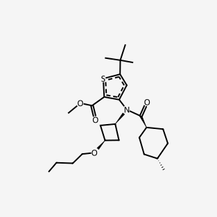 CCCCO[C@H]1C[C@@H](N(c2cc(C(C)(C)C)sc2C(=O)OC)C(=O)[C@H]2CC[C@H](C)CC2)C1